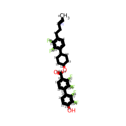 C/C=C/CCc1ccc(C2CCC(OC(=O)c3ccc(-c4ccc(O)c(F)c4F)c(F)c3F)CC2)c(F)c1F